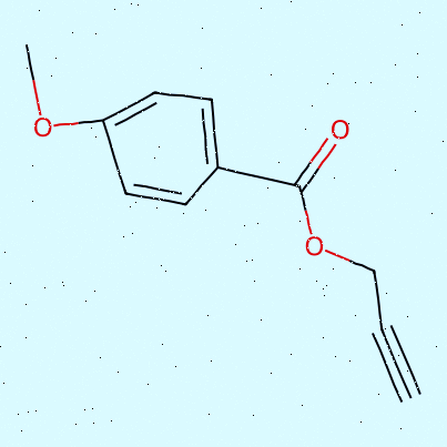 C#CCOC(=O)c1ccc(OC)cc1